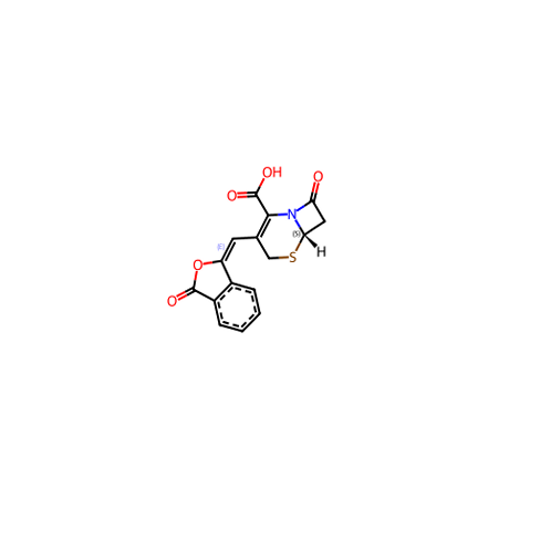 O=C(O)C1=C(/C=C2/OC(=O)c3ccccc32)CS[C@H]2CC(=O)N12